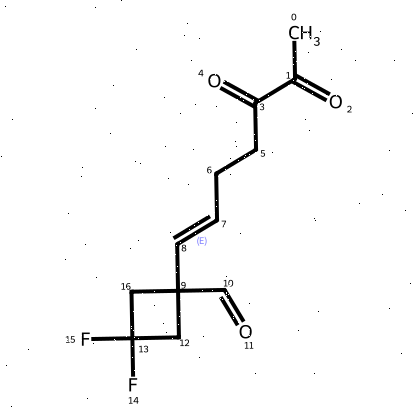 CC(=O)C(=O)CC/C=C/C1(C=O)CC(F)(F)C1